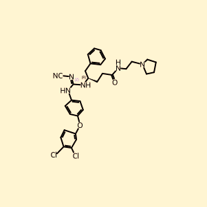 N#C/N=C(\Nc1ccc(Oc2ccc(Cl)c(Cl)c2)cc1)N[C@H](CCC(=O)NCCN1CCCC1)Cc1ccccc1